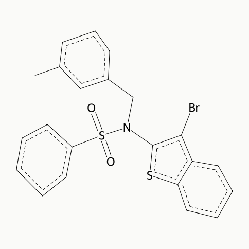 Cc1cccc(CN(c2sc3ccccc3c2Br)S(=O)(=O)c2ccccc2)c1